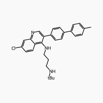 Cc1ccc(-c2ccc(-c3cnc4cc(Cl)ccc4c3NCCCNC(C)(C)C)cc2)cc1